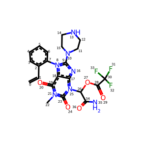 C=Cc1ccccc1-n1c(N2CCNCC2)nc2c1c(=O)n(C)c(=O)n2C(OC(=O)C(F)(F)F)C(N)=O